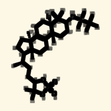 C[C@H](CCC1OS(=O)(=O)OC1(C)C)[C@H]1CC[C@@]2(C)C3=C(CC[C@]12C)[C@@]1(C)CC[C@H](O[Si](C)(C)C(C)(C)C)C(C)(C)[C@@H]1CC3